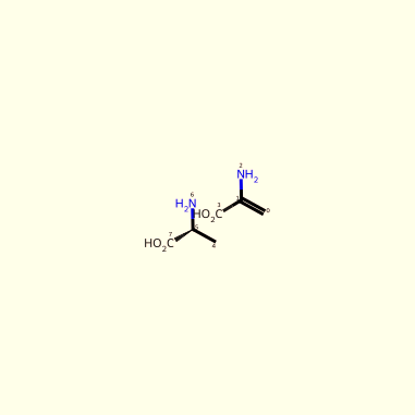 C=C(N)C(=O)O.C[C@H](N)C(=O)O